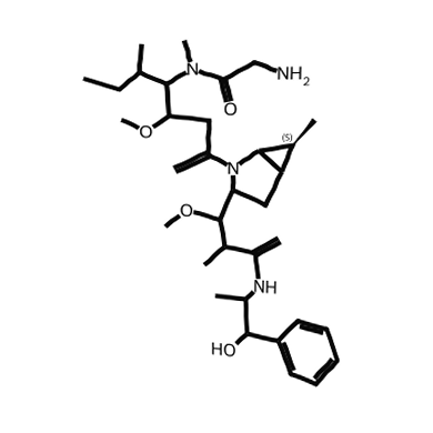 C=C(NC(C)C(O)c1ccccc1)C(C)C(OC)C1CC2C([C@H]2C)N1C(=C)CC(OC)C(C(C)CC)N(C)C(=O)CN